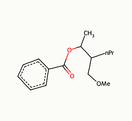 CCCC(COC)C(C)OC(=O)c1ccccc1